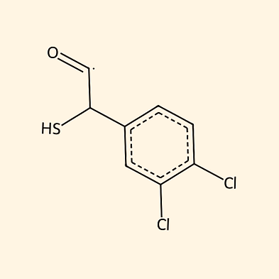 O=[C]C(S)c1ccc(Cl)c(Cl)c1